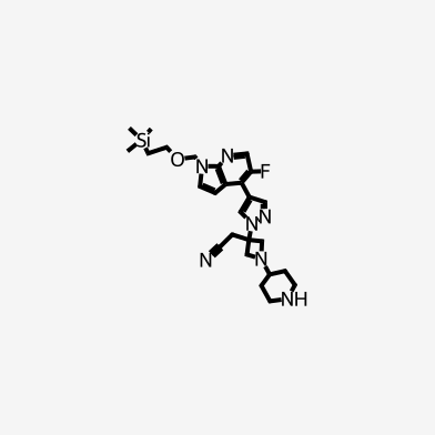 C[Si](C)(C)CCOCn1ccc2c(-c3cnn(C4(CC#N)CN(C5CCNCC5)C4)c3)c(F)cnc21